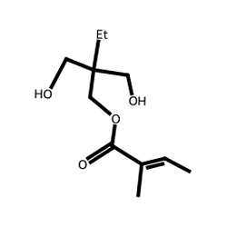 CC=C(C)C(=O)OCC(CC)(CO)CO